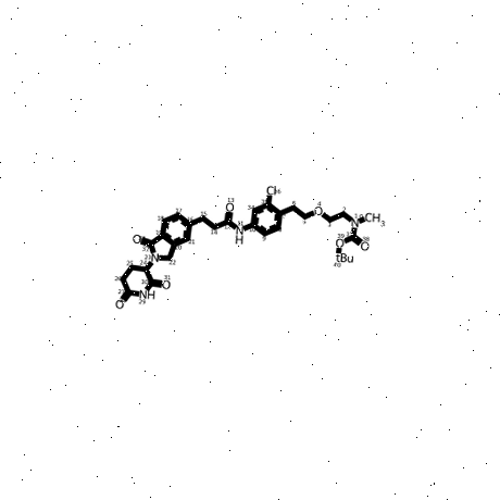 CN(CCOCCc1ccc(NC(=O)CCc2ccc3c(c2)CN(C2CCC(=O)NC2=O)C3=O)cc1Cl)C(=O)OC(C)(C)C